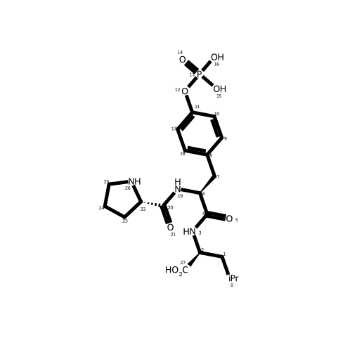 CC(C)C[C@H](NC(=O)[C@H](Cc1ccc(OP(=O)(O)O)cc1)NC(=O)[C@@H]1CCCN1)C(=O)O